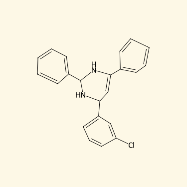 Clc1cccc(C2C=C(c3ccccc3)NC(c3ccccc3)N2)c1